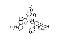 CCOc1cc(C(Nc2ccc3c(N)nccc3c2)C(=O)NCc2ccccc2N2CCOCC2)ccc1OC(C)C.O=C(O)C(F)(F)F